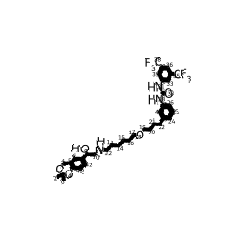 CC1(C)OCc2cc([C@@H](O)CNCCCCCCOCCCCc3cccc(NC(=O)Nc4cc(C(F)(F)F)cc(C(F)(F)F)c4)c3)ccc2O1